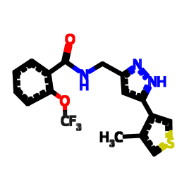 Cc1cscc1-c1cc(CNC(=O)c2ccccc2OC(F)(F)F)n[nH]1